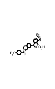 CCn1nnc2c(C)c(C(CC(=O)O)c3ccc4c(c3)CN(C(=O)C3CCC(C(F)(F)F)CC3)CC4)ccc21